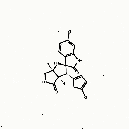 O=C1NC[C@H]2N[C@@]3(C(=O)Nc4cc(Cl)ccc43)[C@H](c3ccc(Cl)s3)[C@@H]12